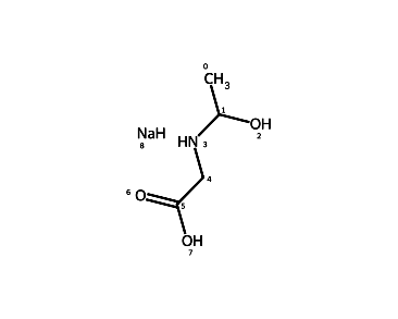 CC(O)NCC(=O)O.[NaH]